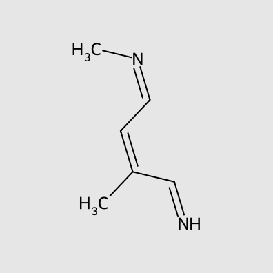 C/N=C\C=C(\C)C=N